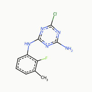 Cc1cccc(Nc2nc(N)nc(Cl)n2)c1F